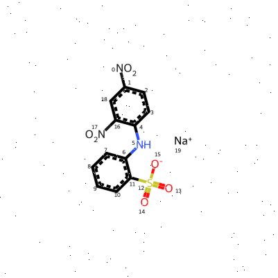 O=[N+]([O-])c1ccc(Nc2ccccc2S(=O)(=O)[O-])c([N+](=O)[O-])c1.[Na+]